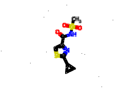 CS(=O)(=O)NC(=O)c1csc(C2CC2)n1